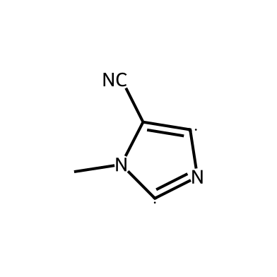 Cn1[c]n[c]c1C#N